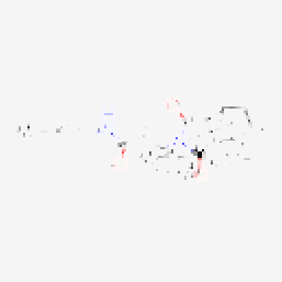 COCCNC(=O)CCN1C(=O)C2C3C=CC(C3C[Si](OC)(OC)OC)C2C1=O